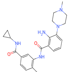 Cc1ccc(C(=O)NC2CC2)cc1NC(=O)c1cccc(N2CCN(C)CC2)c1N